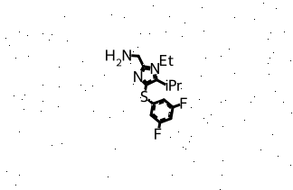 CCn1c(CN)nc(Sc2cc(F)cc(F)c2)c1C(C)C